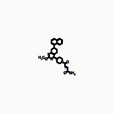 COc1nc2c(c(N3CCN(C(=O)/C=C/C(N)=O)CC3)n1)CCC(c1cccc3ccccc13)C2